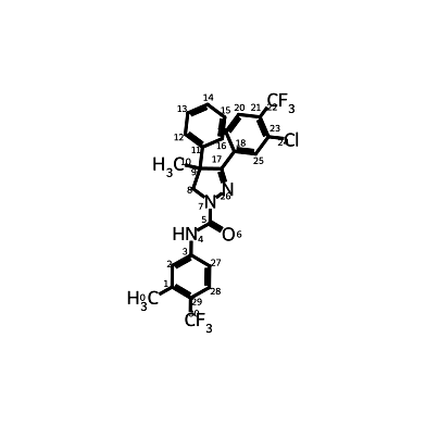 Cc1cc(NC(=O)N2CC(C)(c3ccccc3)C(c3ccc(C(F)(F)F)c(Cl)c3)=N2)ccc1C(F)(F)F